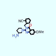 COc1ccc2nc(N3CCCC(N)C3)n(Cc3ccccc3C#N)c(=O)c2c1